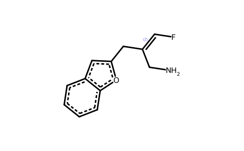 NC/C(=C\F)Cc1cc2ccccc2o1